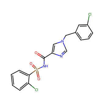 O=C(NS(=O)(=O)c1ccccc1Cl)c1cn(Cc2cccc(Cl)c2)cn1